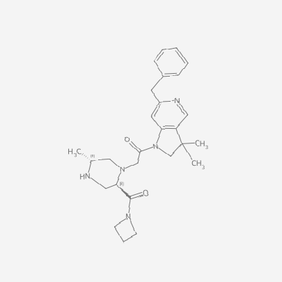 C[C@@H]1CN(CC(=O)N2CC(C)(C)c3cnc(Cc4ccccc4)cc32)[C@@H](C(=O)N2CCC2)CN1